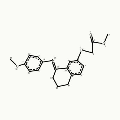 COC(=O)COc1ccc2c(c1)/C(=N/c1ccc(OC)cc1)CCC2